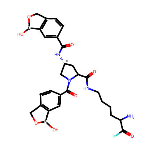 NC(CCCCNC(=O)C1C[C@@H](NC(=O)c2ccc3c(c2)B(O)OC3)CN1C(=O)c1ccc2c(c1)B(O)OC2)C(=O)F